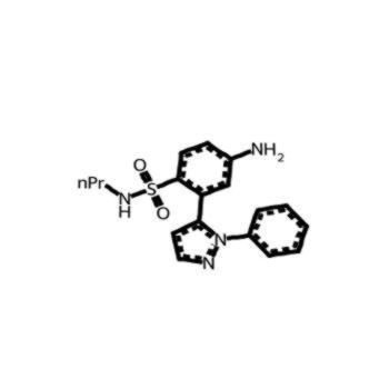 CCCNS(=O)(=O)c1ccc(N)cc1-c1ccnn1-c1ccccc1